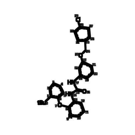 CC(C)(C)c1ccccc1Oc1ncccc1NC(=O)Nc1cccc(OCc2ccc(Cl)cc2)c1